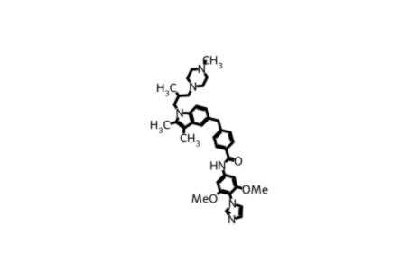 COc1cc(NC(=O)c2ccc(Cc3ccc4c(c3)c(C)c(C)n4CC(C)CN3CCN(C)CC3)cc2)cc(OC)c1-n1ccnc1